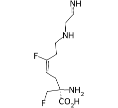 N=CCNCC/C(F)=C\C[C@@](N)(CF)C(=O)O